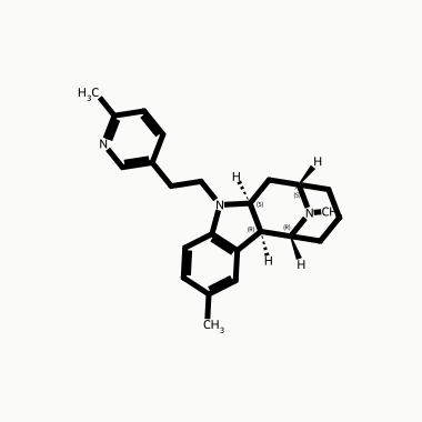 Cc1ccc2c(c1)[C@@H]1[C@H]3CCC[C@@H](C[C@@H]1N2CCc1ccc(C)nc1)N3C